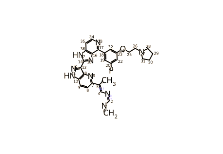 C=N/C=N\C=C(/C)c1ccc2[nH]nc(-c3nc4c(-c5cc(F)cc(OCCN6CCCC6)c5)nccc4[nH]3)c2n1